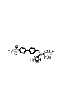 CCCC[C@H](C(=O)O)[C@@H](Cc1ccc(-c2ccc(S(C)(=O)=O)cc2)cc1)c1nn[nH]n1